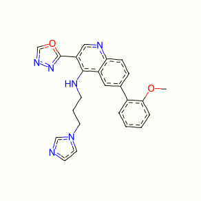 COc1ccccc1-c1ccc2ncc(-c3nnco3)c(NCCCn3ccnc3)c2c1